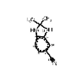 CC1(C)Nc2ccc(C#N)cc2N1